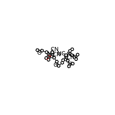 N#Cc1cc(-n2c3ccc(-n4c5ccccc5c5ccccc54)cc3c3c4ccccc4ccc32)c(C#N)c(-n2c3ccc(-n4c5ccccc5c5ccccc54)cc3c3c4ccc(-c5cccc6oc7cc(-c8ccc9c(c8)c8c%10ccccc%10ccc8n9-c8c(C#N)cc(C#N)cc8-n8c9ccc(-c%10ccc%11c(c%10)oc%10ccccc%10%11)cc9c9c%10ccccc%10ccc98)ccc7c56)cc4ccc32)c1